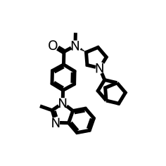 Cc1nc2ccccc2n1-c1ccc(C(=O)N(C)[C@@H]2CCN(C3CC4CCC3C4)C2)cc1